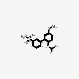 CCCCOc1ccc(OC(F)F)c(-c2cccc(S(N)(=O)=O)c2)c1